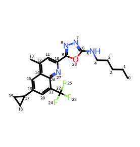 CCCCCNc1nnc(-c2cc(C)c3cc(C4CC4)cc(C(F)(F)F)c3n2)o1